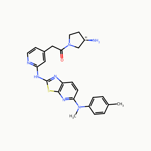 Cc1ccc(N(C)c2ccc3nc(Nc4cc(CC(=O)N5CC[C@@H](N)C5)ccn4)sc3n2)cc1